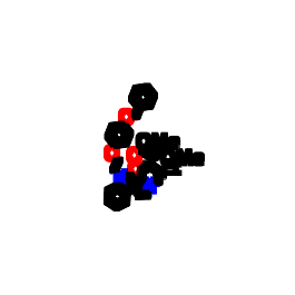 CC[C@H]1CN2CC[C@]3(C(=O)N(CCOc4ccc(OCc5ccccc5)cc4)c4ccccc43)C2C[C@@H]1/C(=C\OC)C(=O)OC